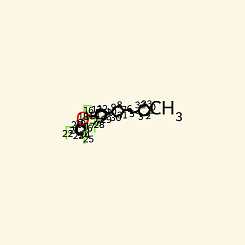 CC1CCC(/C=C/C2CCC(c3ccc(C(F)(F)Oc4cc(F)cc(F)c4)c(F)c3)CC2)CC1